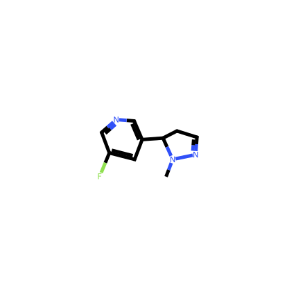 CN1N=CCC1c1cncc(F)c1